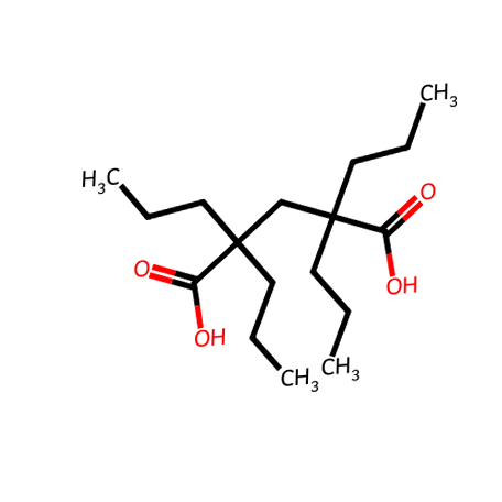 CCCC(CCC)(CC(CCC)(CCC)C(=O)O)C(=O)O